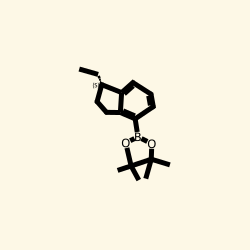 CC[C@H]1CCc2c(B3OC(C)(C)C(C)(C)O3)cccc21